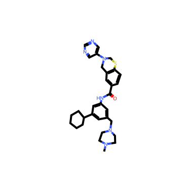 CN1CCN(Cc2cc(NC(=O)c3ccc4c(c3)CN(c3cncnc3)CS4)cc(C3CCCCC3)c2)CC1